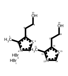 Br.Br.Cc1ncsc1CCO.Cc1ncsc1CCO